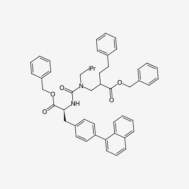 CC(C)CN(CC(CCc1ccccc1)C(=O)OCc1ccccc1)C(=O)N[C@@H](Cc1ccc(-c2cccc3ccccc23)cc1)C(=O)OCc1ccccc1